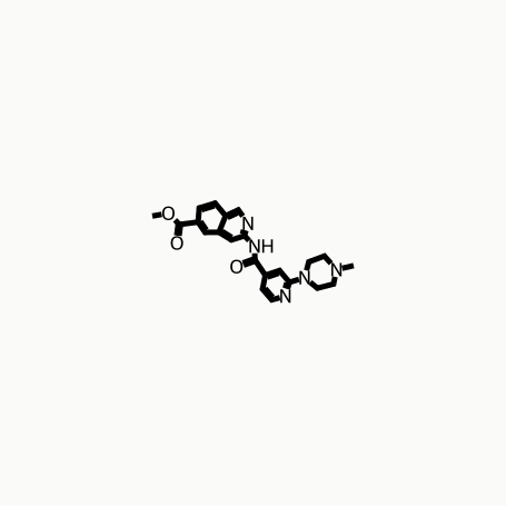 COC(=O)c1ccc2cnc(NC(=O)c3ccnc(N4CCN(C)CC4)c3)cc2c1